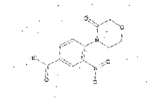 O=C(O)c1ccc(N2CCOCC2=O)c([N+](=O)[O-])c1